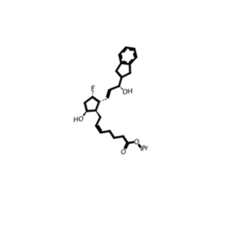 CC(C)OC(=O)CCC/C=C\C[C@@H]1[C@@H](/C=C/[C@@H](O)C2Cc3ccccc3C2)[C@@H](F)C[C@@H]1O